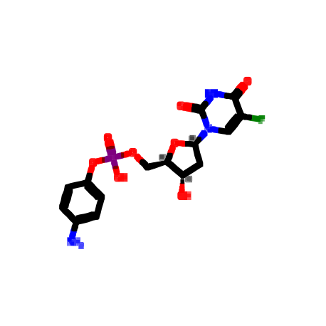 Nc1ccc(OP(=O)(O)OC[C@H]2O[C@@H](n3cc(F)c(=O)[nH]c3=O)C[C@@H]2O)cc1